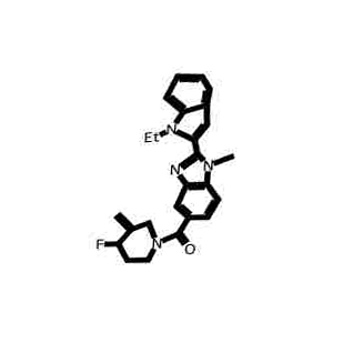 C=C1CN(C(=O)c2ccc3c(c2)nc(-c2cc4ccccc4n2CC)n3C)CCC1F